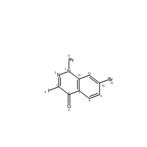 CC(C)n1nc(I)c(=O)c2ccc(Br)cc21